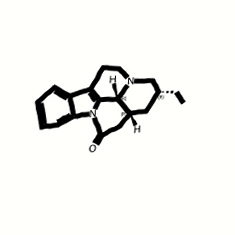 CC[C@@H]1C[C@@H]2CC(=O)n3c4c(c5ccccc53)CCN(C1)[C@@H]42